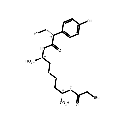 CC(C)C[C@@H](C(=O)N[C@@H](CSSC[C@H](NC(=O)CC(C)(C)C)C(=O)O)C(=O)O)c1ccc(O)cc1